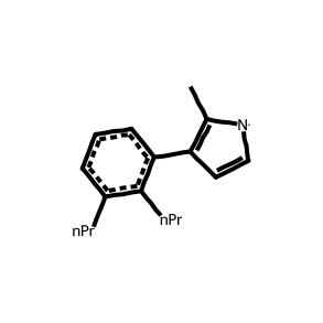 CCCc1cccc(C2=C(C)[N]C=C2)c1CCC